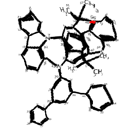 CC(C)(C)c1cc(-n2c3ccccc3c3cccc(N(c4cc(-c5ccccc5)cc(-c5ccccc5)c4)c4ccc5c(c4)sc4ccccc45)c32)cc(C(C)(C)C)c1